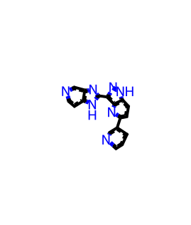 c1cncc(-c2ccc3[nH]nc(-c4nc5cnccc5[nH]4)c3n2)c1